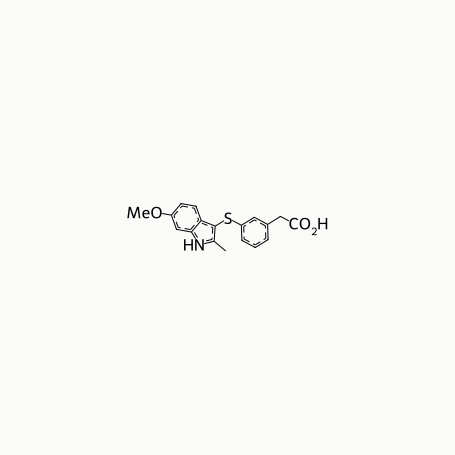 COc1ccc2c(Sc3cccc(CC(=O)O)c3)c(C)[nH]c2c1